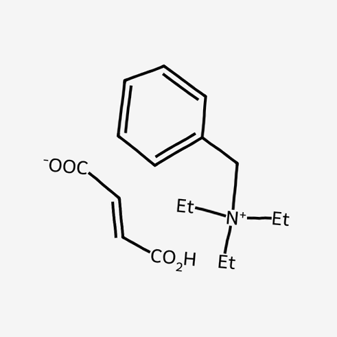 CC[N+](CC)(CC)Cc1ccccc1.O=C([O-])C=CC(=O)O